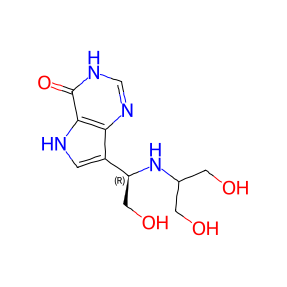 O=c1[nH]cnc2c([C@H](CO)NC(CO)CO)c[nH]c12